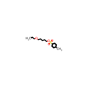 C=CCOCCCCCOS(=O)(=O)c1ccc(C)cc1